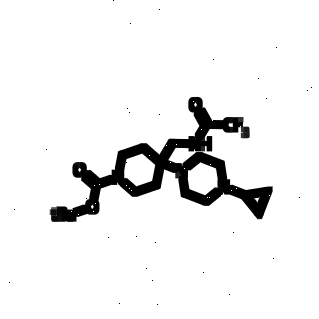 CC(C)(C)OC(=O)N1CCC(CNC(=O)C(F)(F)F)(N2CCN(C3CC3)CC2)CC1